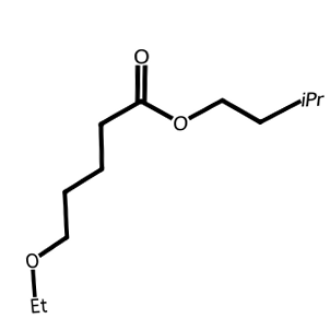 CCOCCCCC(=O)OCCC(C)C